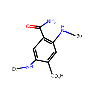 CCNc1cc(C(N)=O)c(NC(C)CC)cc1C(=O)O